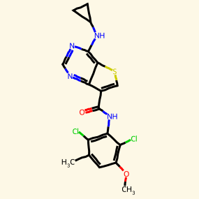 COc1cc(C)c(Cl)c(NC(=O)c2csc3c(NC4CC4)ncnc23)c1Cl